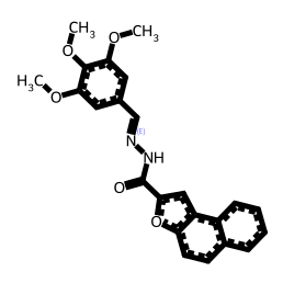 COc1cc(/C=N/NC(=O)c2cc3c(ccc4ccccc43)o2)cc(OC)c1OC